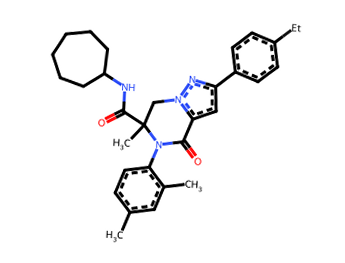 CCc1ccc(-c2cc3n(n2)CC(C)(C(=O)NC2CCCCCC2)N(c2ccc(C)cc2C)C3=O)cc1